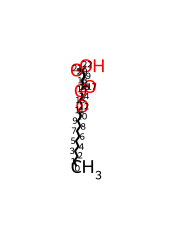 CCCCCCCCCCCCOCCOC(=O)CCC(=O)O